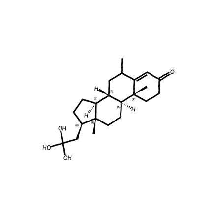 CC1C[C@H]2[C@@H]3CC[C@H](CC(O)(O)O)[C@@]3(C)CC[C@@H]2[C@@]2(C)CCC(=O)C=C12